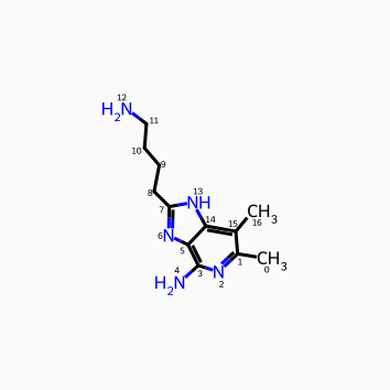 Cc1nc(N)c2nc(CCCCN)[nH]c2c1C